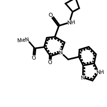 CNC(=O)c1cc(C(=O)NC2CCC2)cn(Cc2cccc3[nH]cnc23)c1=O